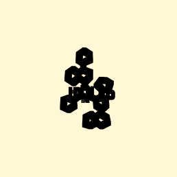 c1ccc(C2=NC(c3cc(-c4cccc5ccccc45)cc4oc5ccccc5c34)=NC(c3ccc(-c4ccccc4)c4ccccc34)N2)cc1